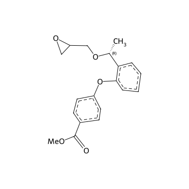 COC(=O)c1ccc(Oc2ccccc2[C@@H](C)OCC2CO2)cc1